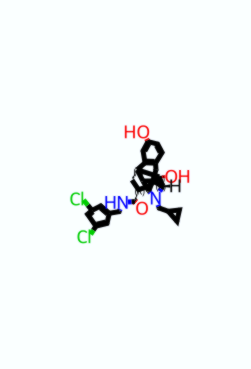 O=C(NCc1cc(Cl)cc(Cl)c1)[C@H]1C[C@@]2(O)[C@@H]3N(CC4CC4)C4C5C43Cc3ccc(O)cc3[C@]52C1